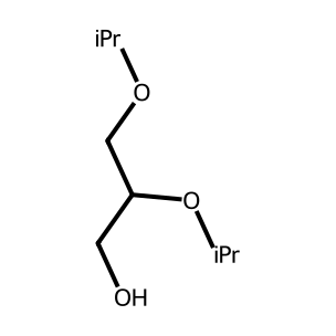 CC(C)OCC(CO)OC(C)C